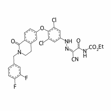 CCOC(=O)NC(=O)C(C#N)=NNc1cc(Cl)c(Oc2ccc3c(c2)CCN(Cc2ccc(F)c(F)c2)C3=O)c(Cl)c1